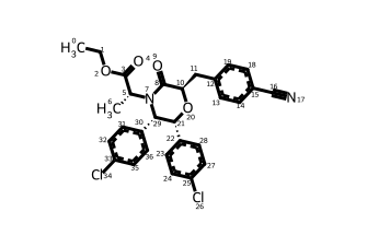 CCOC(=O)[C@@H](C)N1C(=O)[C@@H](Cc2ccc(C#N)cc2)O[C@H](c2ccc(Cl)cc2)[C@@H]1c1ccc(Cl)cc1